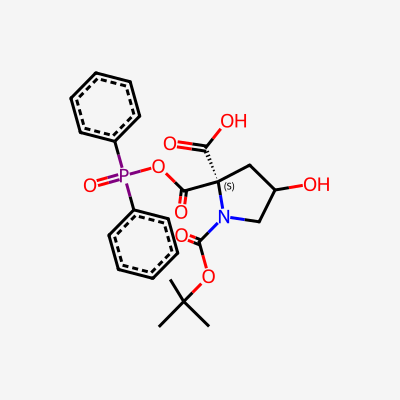 CC(C)(C)OC(=O)N1CC(O)C[C@]1(C(=O)O)C(=O)OP(=O)(c1ccccc1)c1ccccc1